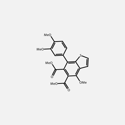 COC(=O)c1c(C(=O)OC)c(-c2ccc(OC)c(OC)c2)c2sccc2c1OC